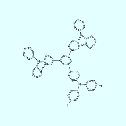 Fc1ccc(N(c2ccc(F)cc2)c2ccc(-c3cc(-c4ccc5c(c4)c4ccccc4n5-c4ccccc4)cc(-c4ccc5c(c4)c4ccccc4n5-c4ccccc4)c3)cn2)cc1